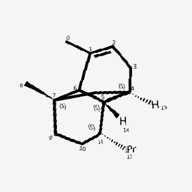 CC1=CC[C@H]2[C@H]3C1[C@@]2(C)CC[C@H]3C(C)C